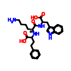 NCCCC[C@H](NC(CCc1ccccc1)C(=O)O)C(=O)NC(Cc1c[nH]c2ccccc12)C(=O)O